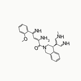 CN/C=C(\C=N)[C@@H]1CN(C(=O)/C(N)=C/C(=N)c2ccccc2OC)Cc2ccccc21